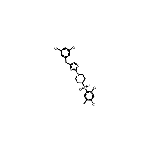 Cc1cc(S(=O)(=O)C2CCN(c3nc(Cc4cc(Cl)cc(Cl)c4)cs3)CC2)c(Cl)cc1Cl